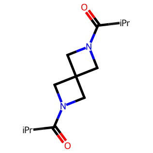 CC(C)C(=O)N1CC2(C1)CN(C(=O)C(C)C)C2